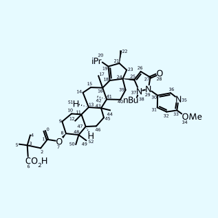 C=C(CC(C)(C)C(=O)O)O[C@H]1CCC2(C)[C@H]3CCC4(C)C5=C(C(C)C)[C@@H](C)C[C@]5(c5cc(=O)n(-c6ccc(OC)nc6)n5CCCC)CC[C@@]4(C)C3(C)CC[C@H]2C1(C)C